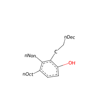 CCCCCCCCCCCCc1c(O)ccc(CCCCCCCC)c1CCCCCCCCC